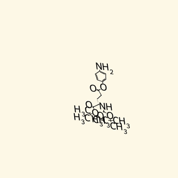 CC(C)(C)OC(=O)N[C@@H](CCC(=O)Oc1ccc(N)cc1)C(=O)OC(C)(C)C